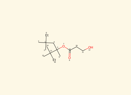 CCC(C)(C)CC(C)(OC(=O)CCO)C(C)(C)CC